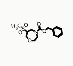 CS(=O)(=O)C1COCCN(C(=O)OCc2ccccc2)C1